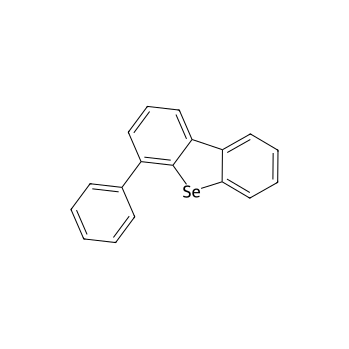 c1ccc(-c2cccc3c2[se]c2ccccc23)cc1